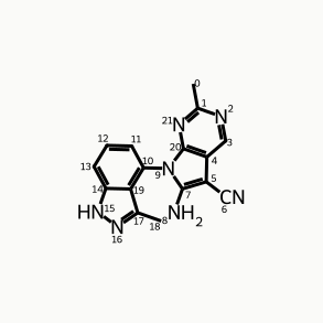 Cc1ncc2c(C#N)c(N)n(-c3cccc4[nH]nc(C)c34)c2n1